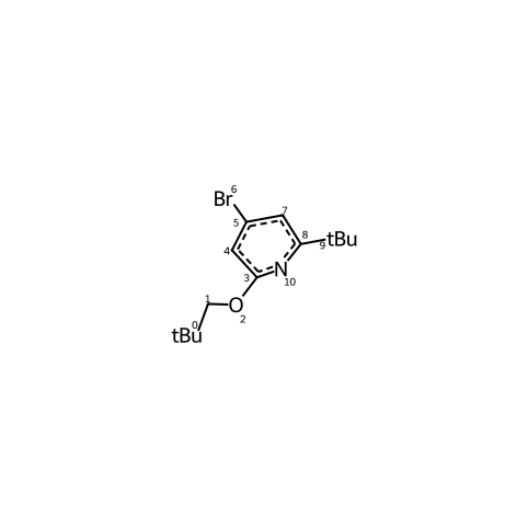 CC(C)(C)COc1cc(Br)cc(C(C)(C)C)n1